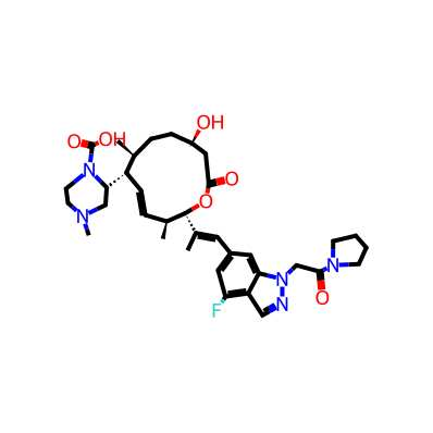 C/C(=C\c1cc(F)c2cnn(CC(=O)N3CCCC3)c2c1)[C@H]1OC(=O)C[C@H](O)CC[C@H](C)[C@@H](C2CN(C)CCN2C(=O)O)/C=C/[C@@H]1C